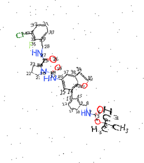 CC(C)(C)OC(=O)NCc1cccc(-c2cc(NC(=O)N3CCC[C@H]3C(=O)NCc3cccc(Cl)c3F)cc3ccoc23)c1